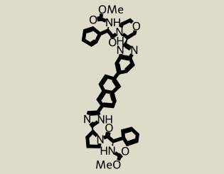 COC(=O)N[C@H](C(=O)N1CCC[C@H]1c1ncc(-c2ccc3cc(-c4ccc5nc([C@@H]6COCCN6C(=O)[C@@H](NC(=O)OC)C6C=CCC=C6)[nH]c5c4)ccc3c2)[nH]1)C1C=CCC=C1